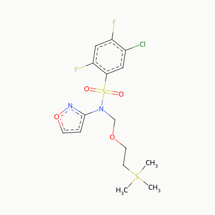 CS(C)(C)CCOCN(c1ccon1)S(=O)(=O)c1cc(Cl)c(F)cc1F